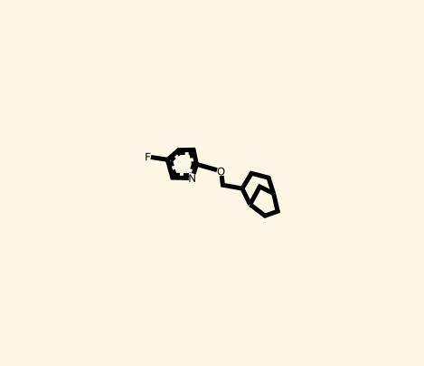 Fc1ccc(OCC2CCC3CCC2C3)nc1